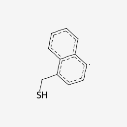 SCc1cc[c]c2ccccc12